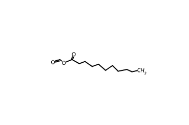 CCCCCCCCCCC(=O)OC=O